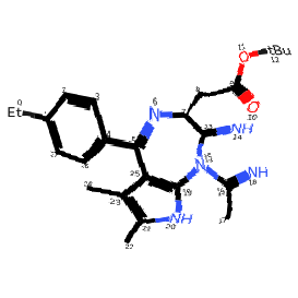 CCc1ccc(C2=N[C@@H](CC(=O)OC(C)(C)C)C(=N)N(C(C)=N)c3[nH]c(C)c(C)c32)cc1